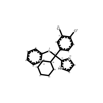 Clc1ccc(C(Sc2ccccn2)(c2ncc[nH]2)C2CCCCC2)cc1Cl